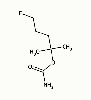 CC(C)(CCCF)OC(N)=O